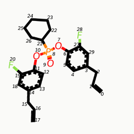 C=CCc1ccc(OP(=O)(Oc2ccc(CC=C)cc2F)C2CCCCC2)c(F)c1